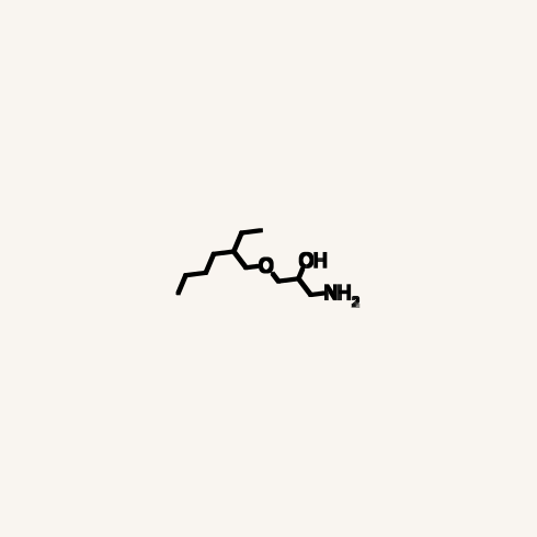 CCCCC(CC)COCC(O)CN